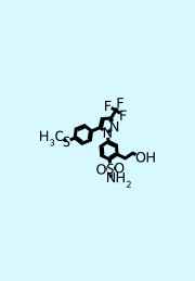 CSc1ccc(-c2cc(C(F)(F)F)nn2-c2ccc(S(N)(=O)=O)c(CCO)c2)cc1